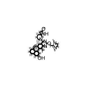 CN1CCN(C)C1COc1nc(N2CCCC3(CC(=O)N3)C2)c2cc(F)c(-c3cc(O)cc4cccc(Cl)c34)c(F)c2n1